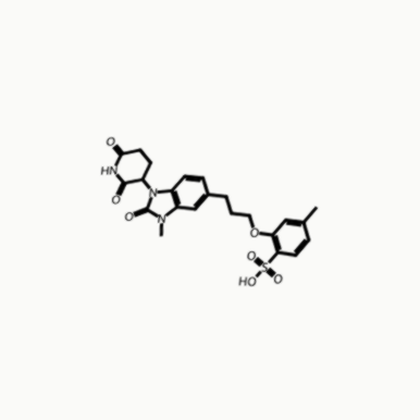 Cc1ccc(S(=O)(=O)O)c(OCCCc2ccc3c(c2)n(C)c(=O)n3C2CCC(=O)NC2=O)c1